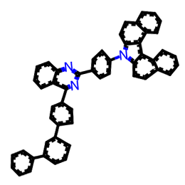 c1ccc(-c2cccc(-c3ccc(-c4nc(-c5ccc(-n6c7ccc8ccccc8c7c7c8ccccc8ccc76)cc5)nc5ccccc45)cc3)c2)cc1